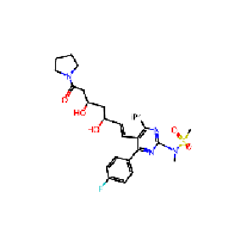 CC(C)c1nc(N(C)S(C)(=O)=O)nc(-c2ccc(F)cc2)c1C=C[C@@H](O)C[C@@H](O)CC(=O)N1CCCC1